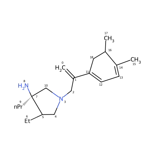 C=C(CN1CC(CC)[C@](N)(CCC)C1)C1=CC=C(C)C(C)C1